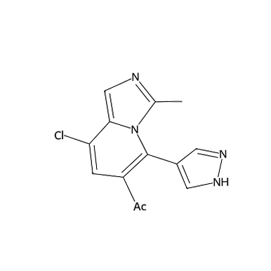 CC(=O)c1cc(Cl)c2cnc(C)n2c1-c1cn[nH]c1